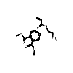 C=CC(=O)OCCP.COC(=O)c1ccccc1C(=O)OC